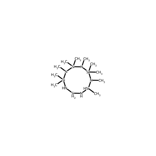 CN1[SiH](C)N[SiH2]N[Si](C)(C)N(C)[Si](C)(C)N(C)[Si]1(C)C